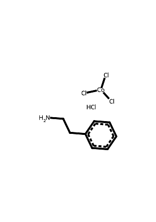 Cl.NCCc1ccccc1.[Cl][Co]([Cl])[Cl]